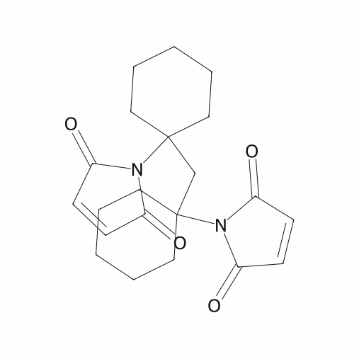 O=C1C=CC(=O)N1C1(CC2(N3C(=O)C=CC3=O)CCCCC2)CCCCC1